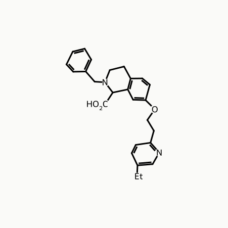 CCc1ccc(CCOc2ccc3c(c2)C(C(=O)O)N(Cc2ccccc2)CC3)nc1